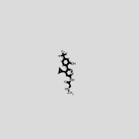 CNCC(=O)Nc1cc(C2CC2)c(-c2ccc(C(F)(F)F)cc2O)nn1